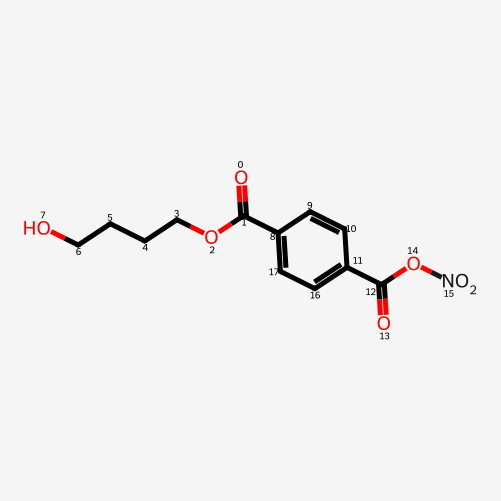 O=C(OCCCCO)c1ccc(C(=O)O[N+](=O)[O-])cc1